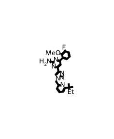 CCC(C)(C)c1cccc(Cn2cc(-c3cc(-c4cccc(F)c4OC)nc(N)n3)nn2)n1